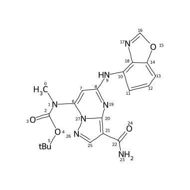 CN(C(=O)OC(C)(C)C)c1cc(Nc2cccc3ocnc23)nc2c(C(N)=O)cnn12